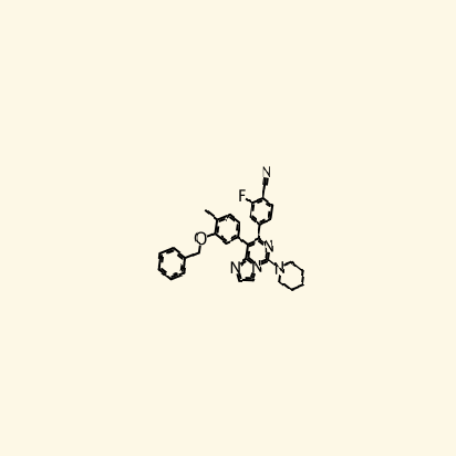 Cc1ccc(-c2c(-c3ccc(C#N)c(F)c3)nc(N3CCCCC3)n3ccnc23)cc1OCc1ccccc1